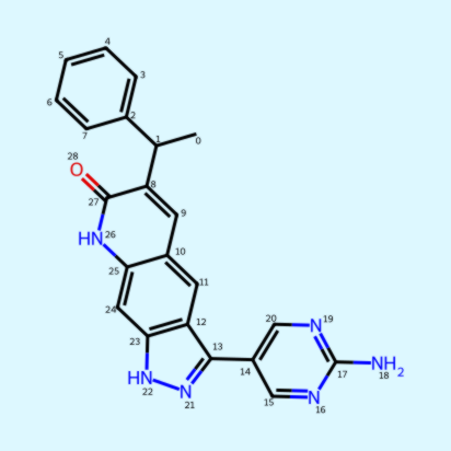 CC(c1ccccc1)c1cc2cc3c(-c4cnc(N)nc4)n[nH]c3cc2[nH]c1=O